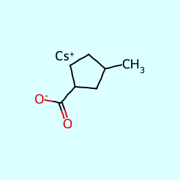 CC1CCC(C(=O)[O-])C1.[Cs+]